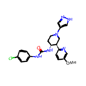 COc1ccc([C@@H]2CN(c3cn[nH]c3)CC[C@H]2NC(=O)Nc2ccc(Cl)cc2)nc1